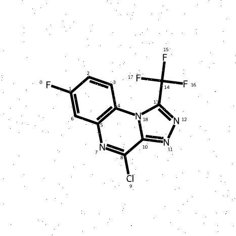 Fc1ccc2c(c1)nc(Cl)c1nnc(C(F)(F)F)n12